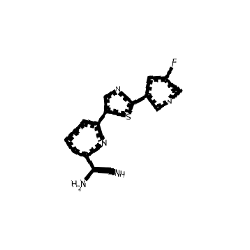 N=C(N)c1cccc(-c2cnc(-c3cncc(F)c3)s2)n1